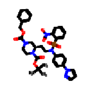 CC(C)(C)OC(=O)N1CCN(C(=O)OCc2ccccc2)C[C@H]1CCN(c1ccc(-n2cccn2)cc1)S(=O)(=O)c1ccccc1[N+](=O)[O-]